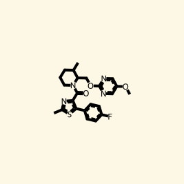 COc1cnc(OCC2C(C)CCCN2C(=O)c2nc(C)sc2-c2ccc(F)cc2)nc1